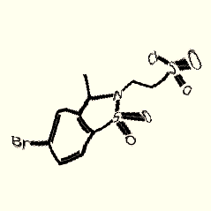 CC1c2cc(Br)ccc2S(=O)(=O)N1CCS(=O)(=O)Cl